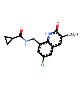 O=C(O)c1cc2cc(Cl)cc(CNC(=O)C3CC3)c2[nH]c1=O